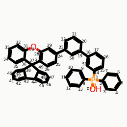 O[PH](c1ccccc1)(c1ccccc1)c1cccc(-c2cccc(-c3ccc4c(c3)Oc3ccccc3C43c4ccccc4-c4ccccc43)c2)c1